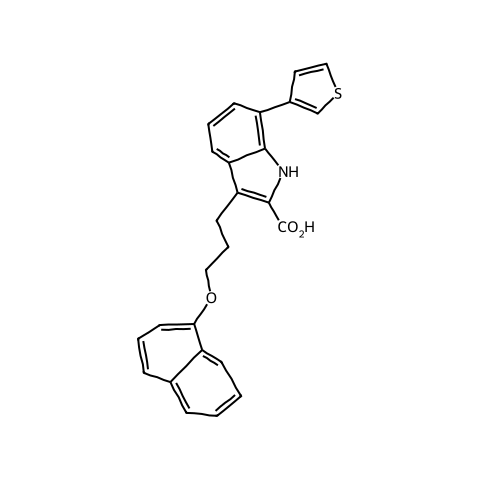 O=C(O)c1[nH]c2c(-c3ccsc3)cccc2c1CCCOc1cccc2ccccc12